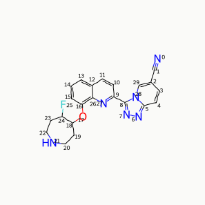 N#Cc1ccc2nnc(-c3ccc4cccc(OC5CCNCCC5F)c4n3)n2c1